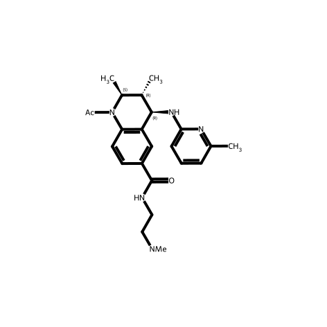 CNCCNC(=O)c1ccc2c(c1)[C@H](Nc1cccc(C)n1)[C@@H](C)[C@H](C)N2C(C)=O